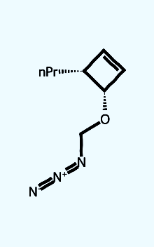 CCC[C@@H]1C=C[C@@H]1OCN=[N+]=[N-]